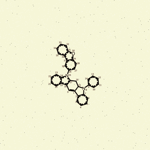 C1=C2c3ccccc3N(c3ccccc3)C2Cc2c1c1ccccc1n2-c1ccc2oc3ccccc3c2c1